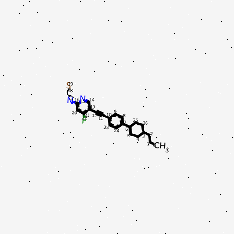 CCCC1CCC(c2ccc(C#Cc3cnc(N=C=S)cc3F)cc2)CC1